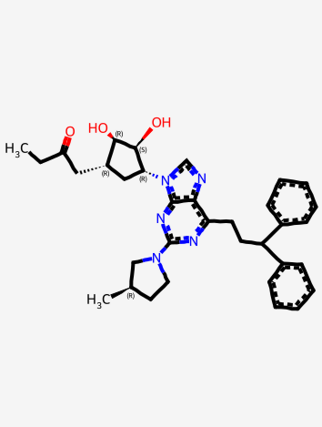 CCC(=O)C[C@H]1C[C@@H](n2cnc3c(CCC(c4ccccc4)c4ccccc4)nc(N4CC[C@@H](C)C4)nc32)[C@H](O)[C@@H]1O